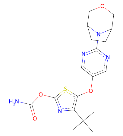 CC(C)(C)c1nc(OC(N)=O)sc1Oc1cnc(N2C3CCC2COC3)nc1